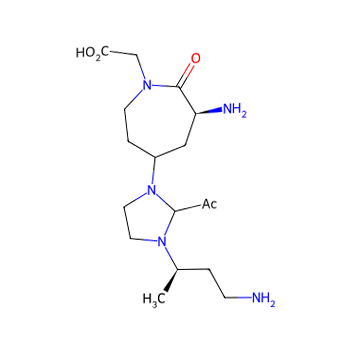 CC(=O)C1N(C2CCN(CC(=O)O)C(=O)[C@@H](N)C2)CCN1[C@H](C)CCN